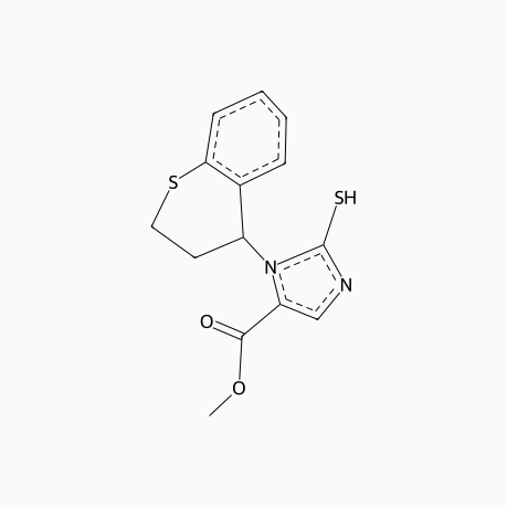 COC(=O)c1cnc(S)n1C1CCSc2ccccc21